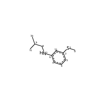 CSc1cccc(NCC(C)C)c1